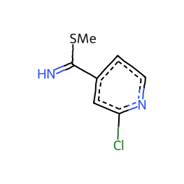 CSC(=N)c1ccnc(Cl)c1